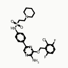 Nc1ncc(-c2ccc(NS(=O)(=O)CCN3CCCCC3)cc2)nc1OCc1c(F)ccc(F)c1Cl